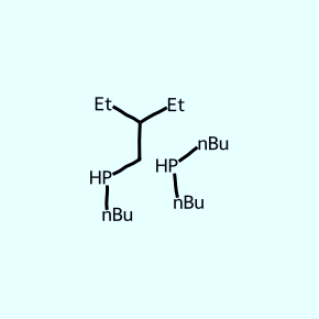 CCCCPCC(CC)CC.CCCCPCCCC